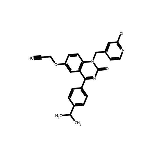 C#CCOc1ccc2c(c1)c(-c1ccc(C(C)C)cc1)nc(=O)n2Cc1ccnc(Cl)c1